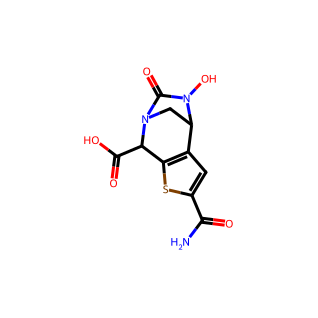 NC(=O)c1cc2c(s1)C(C(=O)O)N1CC2N(O)C1=O